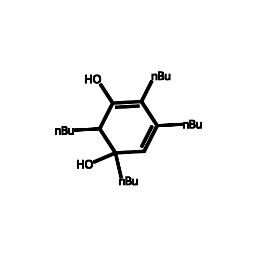 CCCCC1=CC(O)(CCCC)C(CCCC)C(O)=C1CCCC